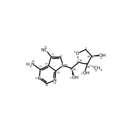 C[C@@]1(O)[C@H](O)CO[C@H]1[C@@H](O)n1cc(C#N)c2c(N)ncnc21